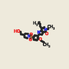 CCCOc1ccc(S(=O)(=O)N2CCC(CCO)CC2)cc1C1=Nc2c(CCC)cn(CC)c(=O)c2C1